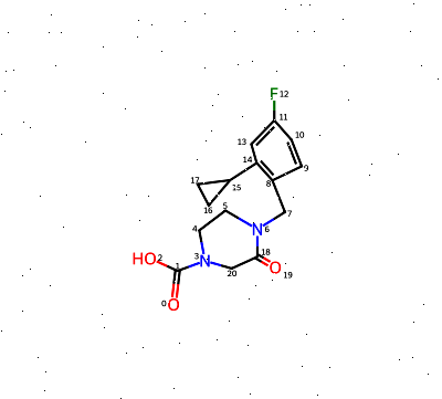 O=C(O)N1CCN(Cc2ccc(F)cc2C2CC2)C(=O)C1